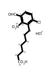 Cl.O=Cc1ccc(Cl)c(CCCCCCC(=O)O)c1[N+](=O)[O-]